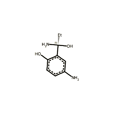 CC[C@](N)(O)c1cc(N)ccc1O